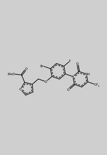 COC(=O)c1occc1COc1cc(-n2c(=O)cc(C(F)(F)F)[nH]c2=O)c(F)cc1Br